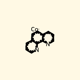 [Co].c1cnc2c(c1)ccc1cccnc12